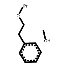 CC(C)OCCc1ccccc1.CO